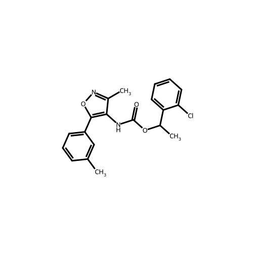 Cc1cccc(-c2onc(C)c2NC(=O)OC(C)c2ccccc2Cl)c1